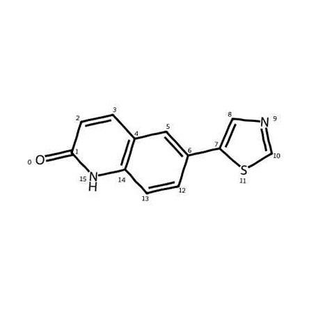 O=c1ccc2cc(-c3cncs3)ccc2[nH]1